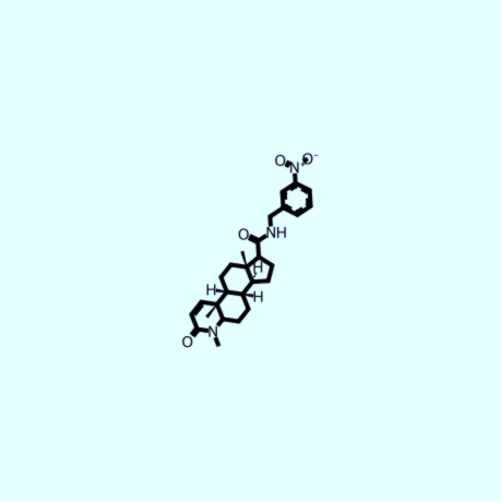 CN1C(=O)C=C[C@@]2(C)C1CC[C@@H]1[C@H]2CC[C@]2(C)C(C(=O)NCc3cccc([N+](=O)[O-])c3)CC[C@@H]12